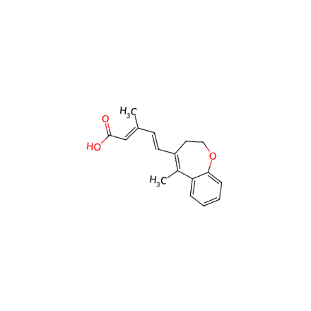 CC(=CC(=O)O)/C=C/C1=C(C)c2ccccc2OCC1